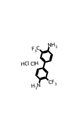 Cl.Cl.Nc1ccc(-c2ccc(N)c(C(F)(F)F)c2)cc1C(F)(F)F